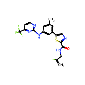 C=C(F)CNC(=O)c1ncc(-c2cc(C)cc(Nc3nccc(C(F)(F)F)n3)c2)s1